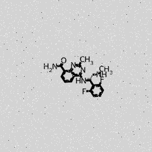 CNC[C@@H](Nc1nc(C)nc2c(C(N)=O)cccc12)c1c(F)cccc1F